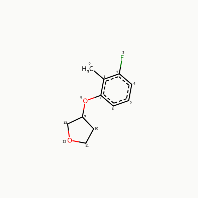 Cc1c(F)cccc1OC1CCOC1